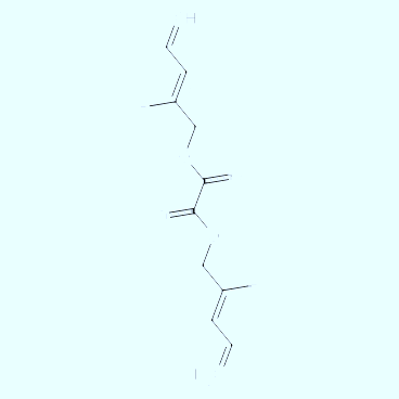 C=C/C=C(\F)COC(=O)C(=O)OC/C(F)=C/C=C